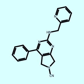 N#CN1Cc2nc(NCc3ccccn3)nc(-c3ccccc3)c2C1